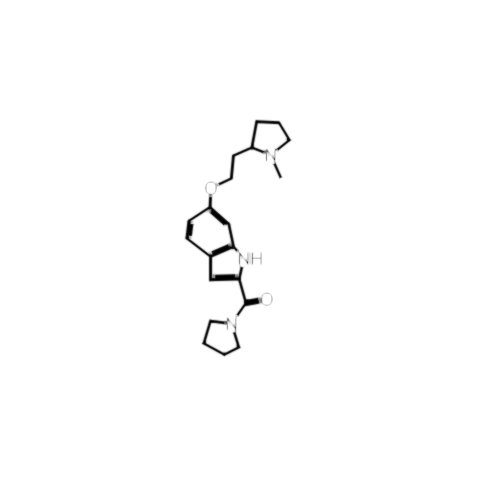 CN1CCCC1CCOc1ccc2cc(C(=O)N3CCCC3)[nH]c2c1